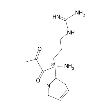 CC(=O)C(=O)[C@@](N)(CCCNC(=N)N)C1CC=CC=N1